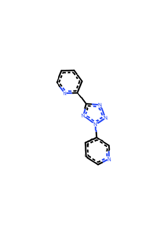 c1ccc(-c2nnn(-c3cccnc3)n2)nc1